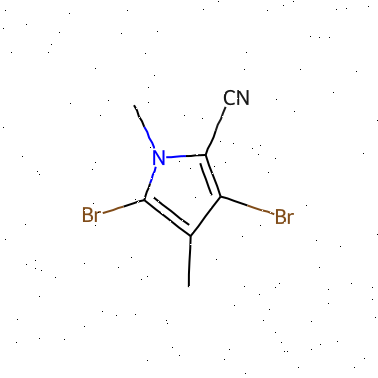 Cc1c(Br)c(C#N)n(C)c1Br